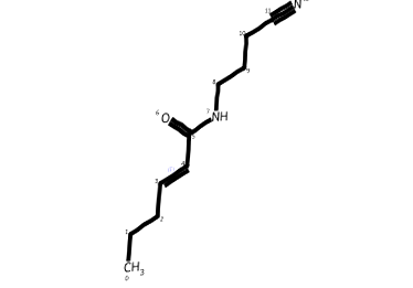 CCC/C=C/C(=O)NCCCC#N